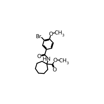 COC(=O)C1(NC(=O)c2ccc(OC)c(Br)c2)CCCCCC1